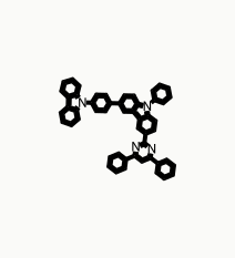 c1ccc(-c2cc(-c3ccccc3)nc(-c3ccc4c(c3)c3cc(-c5ccc(-n6c7ccccc7c7ccccc76)cc5)ccc3n4-c3ccccc3)n2)cc1